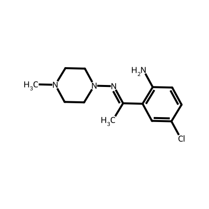 C/C(=N\N1CCN(C)CC1)c1cc(Cl)ccc1N